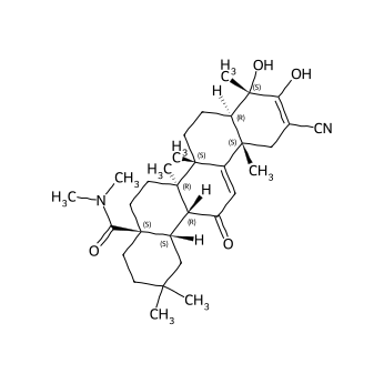 CN(C)C(=O)[C@]12CCC(C)(C)C[C@H]1[C@H]1C(=O)C=C3[C@@]4(C)CC(C#N)=C(O)[C@@](C)(O)[C@@H]4CC[C@@]3(C)[C@]1(C)CC2